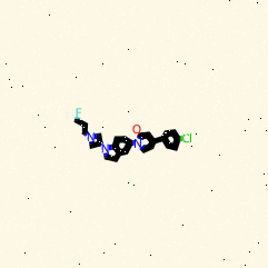 O=c1cc(-c2ccc(Cl)cc2)ccn1-c1ccc2c(c1)CCN2C1CN(CCCF)C1